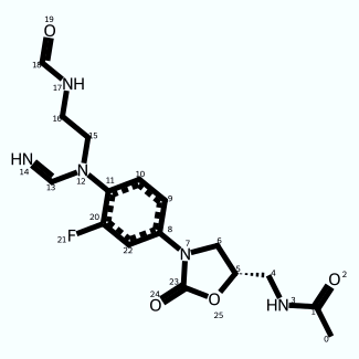 CC(=O)NC[C@H]1CN(c2ccc(N(C=N)CCNC=O)c(F)c2)C(=O)O1